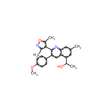 COc1ccc(-c2cc3c(C(C)O)cc(C)cc3nc2-c2c(C)noc2C)cc1